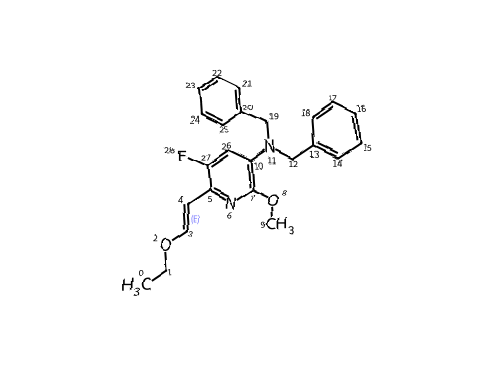 CCO/C=C/c1nc(OC)c(N(Cc2ccccc2)Cc2ccccc2)cc1F